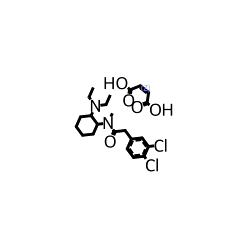 CCN(CC)C1CCCCC1N(C)C(=O)Cc1ccc(Cl)c(Cl)c1.O=C(O)/C=C\C(=O)O